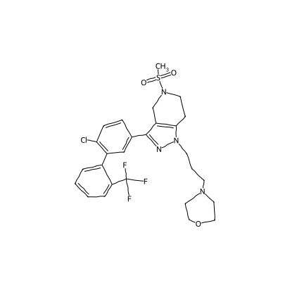 CS(=O)(=O)N1CCc2c(c(-c3ccc(Cl)c(-c4ccccc4C(F)(F)F)c3)nn2CCCN2CCOCC2)C1